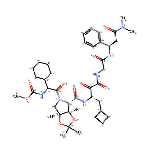 CN(C)C(=O)C[C@@H](NC(=O)CNC(=O)C(=O)[C@H](CC1CCC1)NC(=O)[C@@H]1[C@H]2OC(C)(C)O[C@H]2CN1C(=O)[C@@H](NC(=O)OC(C)(C)C)C1CCCCC1)c1ccccc1